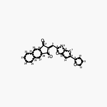 O=C1C(=Cc2nc3sc(-c4ccco4)cc3o2)C(=O)c2cc3ccccc3cc21